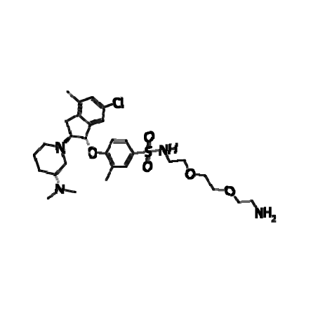 Cc1cc(S(=O)(=O)NCCOCCOCCN)ccc1O[C@H]1c2cc(Cl)cc(C)c2C[C@@H]1N1CCC[C@@H](N(C)C)C1